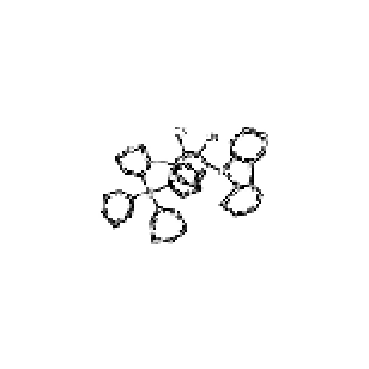 N#Cc1c(-c2ccccc2[Si](c2ccccc2)(c2ccccc2)c2ccccc2)ccc(-n2c3ccccc3c3ccccc32)c1C#N